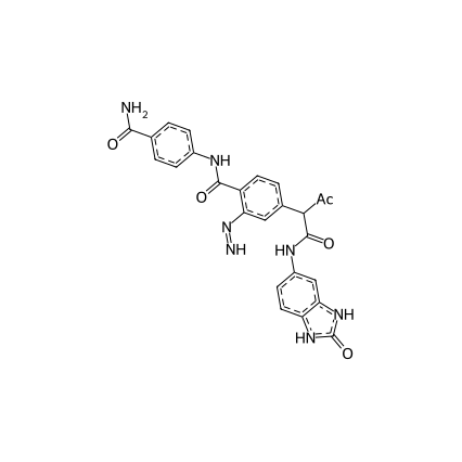 CC(=O)C(C(=O)Nc1ccc2[nH]c(=O)[nH]c2c1)c1ccc(C(=O)Nc2ccc(C(N)=O)cc2)c(N=N)c1